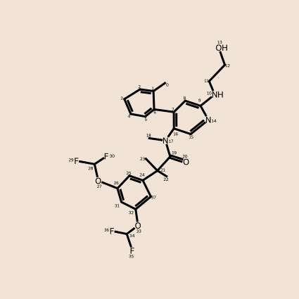 Cc1ccccc1-c1cc(NCCO)ncc1N(C)C(=O)C(C)(C)c1cc(OC(F)F)cc(OC(F)F)c1